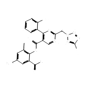 Cc1cc(C#N)cc(C(N)=O)c1NC(=O)c1cnc(Cn2nnc(C(F)(F)F)n2)nc1-c1ccccc1Cl